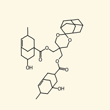 CC1C=C2CC(C(=O)OCC3(COC(=O)C45CC(=CC(C)C4)CC(O)C5)COC4(OC3)C3CC5CC(C3)CC4C5)CC(O)(C2)C1